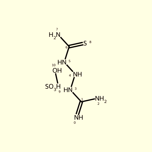 N=C(N)NNNC(N)=S.O=S(=O)(O)O